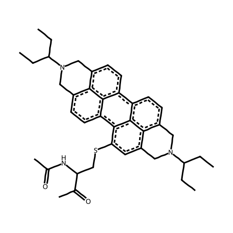 CCC(CC)N1Cc2ccc3c4ccc5c6c(cc(SCC(NC(C)=O)C(C)=O)c(c7ccc(c2c37)C1)c64)CN(C(CC)CC)C5